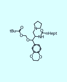 CCCCCCCC(=O)NC(CN1CCCC1)C(OCOC(=O)C(C)(C)C)c1ccc2c(c1)OCCO2